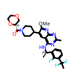 COc1nc2nc(C)nc(N[C@H](C)c3cccc(C(C)(F)F)c3F)c2cc1C1CCN(C(=O)[C@H]2COCCO2)CC1